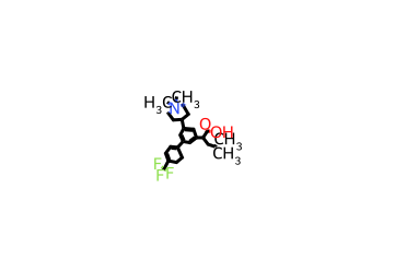 CC(C)CC(C(=O)O)c1cc(C2=CC=C(C(F)(F)F)CC2)cc(C2CC[N+](C)(C)CC2)c1